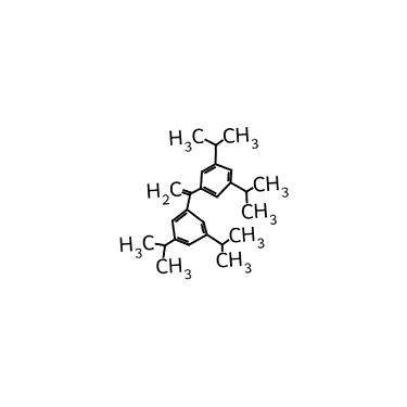 C=C(c1cc(C(C)C)cc(C(C)C)c1)c1cc(C(C)C)cc(C(C)C)c1